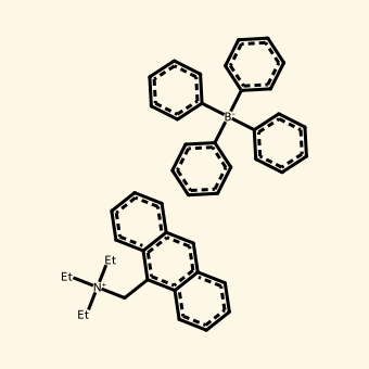 CC[N+](CC)(CC)Cc1c2ccccc2cc2ccccc12.c1ccc([B-](c2ccccc2)(c2ccccc2)c2ccccc2)cc1